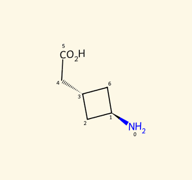 N[C@H]1C[C@H](CC(=O)O)C1